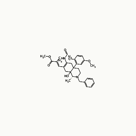 COC(=O)/C(C)=C/C1=C(NC=O)CC2(c3cc(OC)ccc3C)CCN(Cc3ccccc3)[C@H](C)C2(O)C1